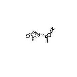 O[C@@H]1Cc2ccccc2[C@H]1NC1CCN(CCCc2c[nH]c3ccc(-n4cnnc4)cc23)CC1